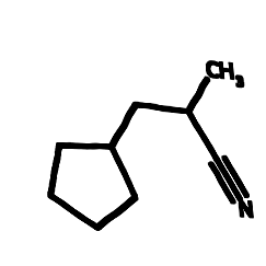 CC(C#N)CC1CCCC1